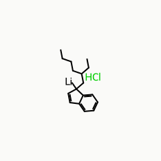 Cl.[Li][C]1(CC(CC)CCCC)C=Cc2ccccc21